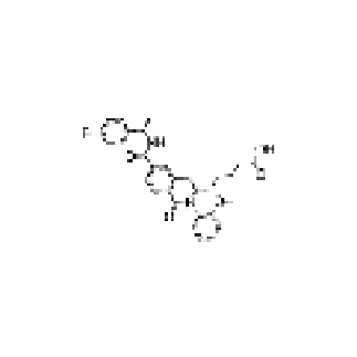 COc1ccccc1-n1c(CCCCC(=O)O)cc2cc(C(=O)N[C@H](C)c3ccc(F)cc3)ccc2c1=O